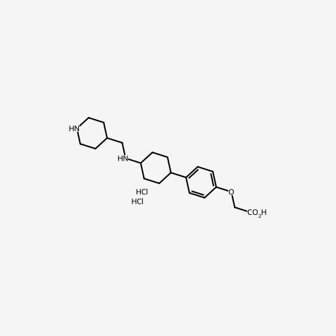 Cl.Cl.O=C(O)COc1ccc(C2CCC(NCC3CCNCC3)CC2)cc1